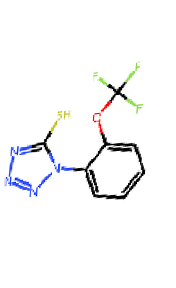 FC(F)(F)Oc1ccccc1-n1nnnc1S